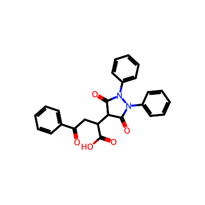 O=C(CC(C(=O)O)C1C(=O)N(c2ccccc2)N(c2ccccc2)C1=O)c1ccccc1